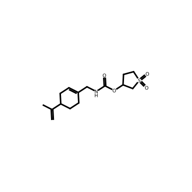 C=C(C)C1CC=C(CNC(=O)OC2CCS(=O)(=O)C2)CC1